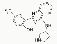 Oc1ccc(C(F)(F)F)cc1-c1nc(NC2CCNC2)c2ccccc2n1